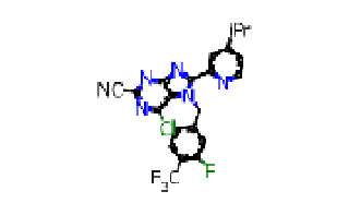 CC(C)c1ccnc(-c2nc3nc(C#N)nc(Cl)c3n2Cc2ccc(C(F)(F)F)c(F)c2)c1